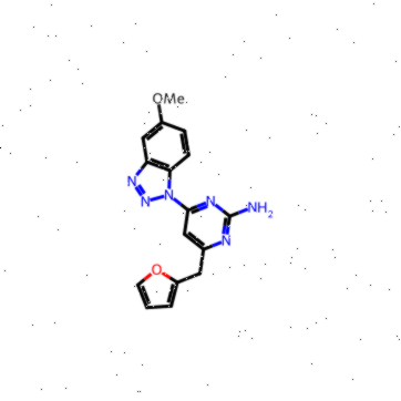 COc1ccc2c(c1)nnn2-c1cc(Cc2ccco2)nc(N)n1